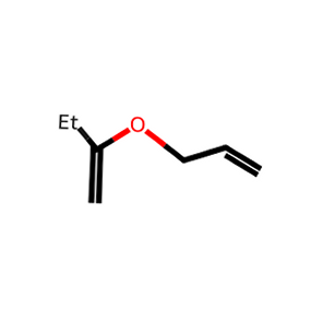 C=CCOC(=C)CC